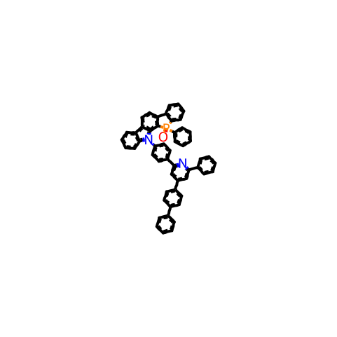 O=P1(c2ccccc2)c2ccccc2-c2ccc3c4ccccc4n(-c4ccc(-c5cc(-c6ccc(-c7ccccc7)cc6)cc(-c6ccccc6)n5)cc4)c3c21